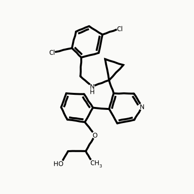 CC(CO)Oc1ccccc1-c1ccncc1C1(NCc2cc(Cl)ccc2Cl)CC1